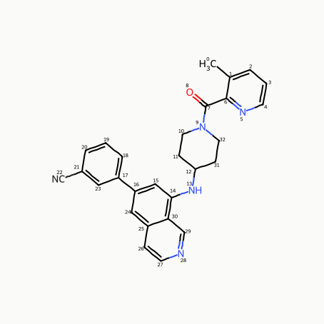 Cc1cccnc1C(=O)N1CCC(Nc2cc(-c3cccc(C#N)c3)cc3ccncc23)CC1